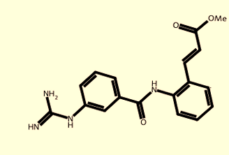 COC(=O)C=Cc1[c]cccc1NC(=O)c1cccc(NC(=N)N)c1